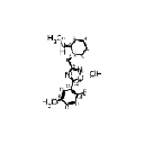 CNC1CCCCN1Cc1noc(-c2cc(C)ccc2F)n1.Cl